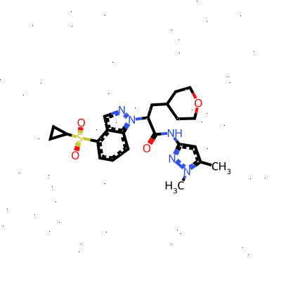 Cc1cc(NC(=O)C(CC2CCOCC2)n2ncc3c(S(=O)(=O)C4CC4)cccc32)nn1C